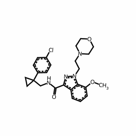 COc1cccc2c(C(=O)NCC3(c4ccc(Cl)cc4)CC3)nn(CCN3CCOCC3)c12